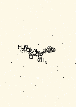 COc1cc2c(Cl)c(Oc3ccc(N)c(Cl)c3)cnc2cc1OCCCN1CCC2(CC1)COC2